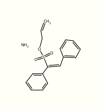 C=CCOS(=O)(=O)C(=Cc1ccccc1)c1ccccc1.N